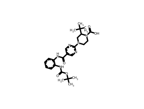 CC(C)(C)OC(=O)Nc1ccccc1NC(=O)c1cnc(N2CCN(C(=O)O)C(C(C)(C)C)C2)nc1